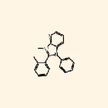 Cc1ccccc1-c1n(-c2ccccc2)c2cccnc2[n+]1C